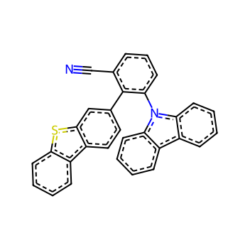 N#Cc1cccc(-n2c3ccccc3c3ccccc32)c1-c1ccc2c(c1)sc1ccccc12